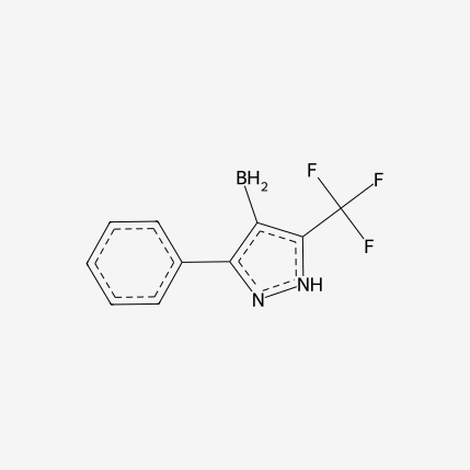 Bc1c(-c2ccccc2)n[nH]c1C(F)(F)F